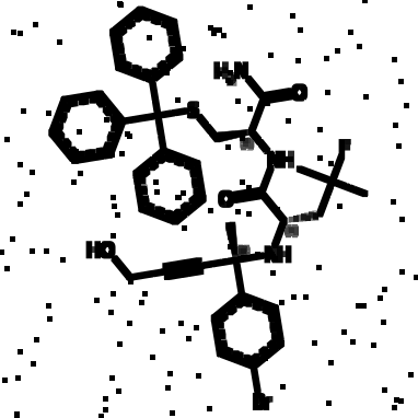 CC(C)(F)C[C@H](N[C@@](C)(C#CCO)c1ccc(Br)cc1)C(=O)N[C@@H](CSC(c1ccccc1)(c1ccccc1)c1ccccc1)C(N)=O